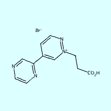 O=C(O)CC[n+]1cc(-c2cnccn2)ccn1.[Br-]